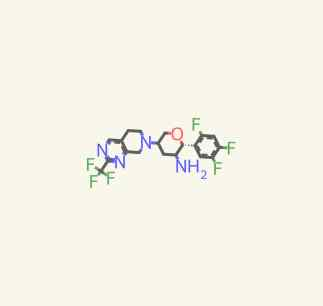 NC1CC(N2CCc3cnc(C(F)(F)F)nc3C2)CO[C@@H]1c1cc(F)c(F)cc1F